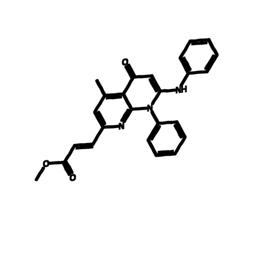 COC(=O)/C=C/c1cc(C)c2c(=O)cc(Nc3ccccc3)n(-c3ccccc3)c2n1